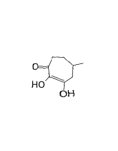 CC1CCC(=O)C(O)=C(O)C1